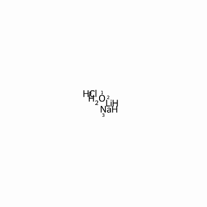 Cl.O.[LiH].[NaH]